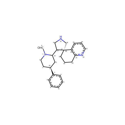 O=CN1CC[C@H](c2ccccc2)CC1C1CNC[C@]12CCCc1ncccc12